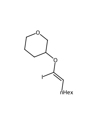 CCCCCCC=C(I)OC1CCCOC1